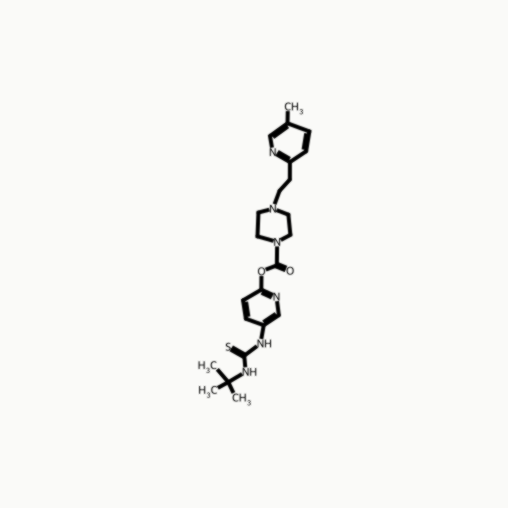 Cc1ccc(CCN2CCN(C(=O)Oc3ccc(NC(=S)NC(C)(C)C)cn3)CC2)nc1